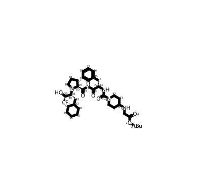 CC(C)(C)OC(=O)CNC1CCN(C(=O)N[C@@H](Cc2ccccc2)C(=O)NC(=O)[C@@H]2CCCN2[C@H](CC2CCCCC2)[C@@H](O)C(F)(F)F)CC1